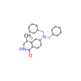 Cc1c[nH]c(=O)c2ccc(N(Cc3ccccc3)Cc3ccccc3)cc12